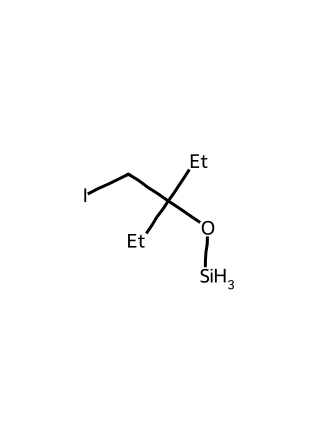 CCC(CC)(CI)O[SiH3]